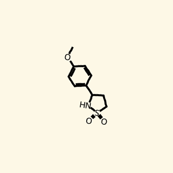 COc1ccc(C2CCS(=O)(=O)N2)cc1